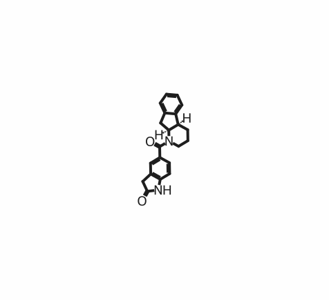 O=C1Cc2cc(C(=O)N3CCC[C@@H]4c5ccccc5C[C@@H]43)ccc2N1